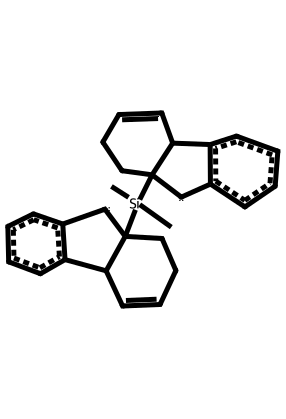 C[Si](C)(C12[C]c3ccccc3C1C=CCC2)C12[C]c3ccccc3C1C=CCC2